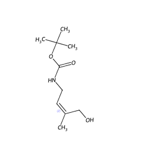 C/C(=C/CNC(=O)OC(C)(C)C)CO